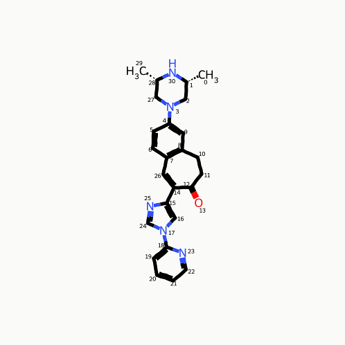 C[C@@H]1CN(c2ccc3c(c2)CCC(=O)C(c2cn(-c4ccccn4)cn2)=C3)C[C@H](C)N1